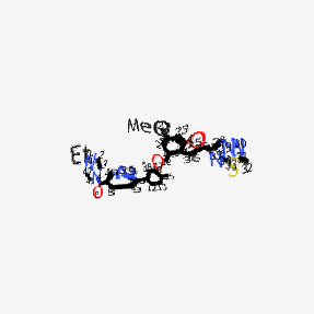 CCN1CCN(C(=O)c2ccc(-c3ccc(C)c(OCc4cc(OC)cc5oc(-c6cn7nc(C)sc7n6)cc45)c3)nc2)CC1